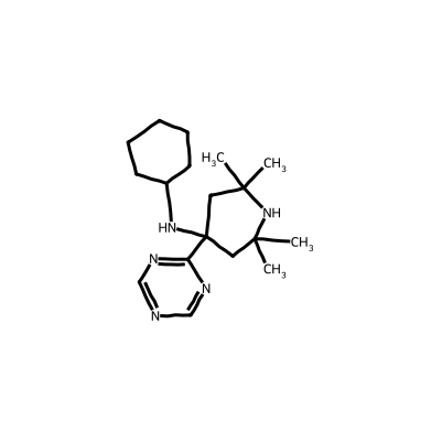 CC1(C)CC(NC2CCCCC2)(c2ncncn2)CC(C)(C)N1